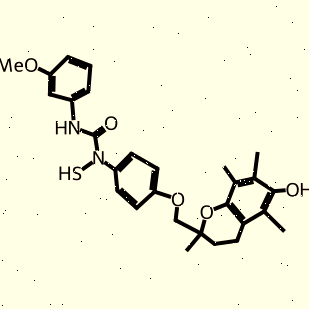 COc1cccc(NC(=O)N(S)c2ccc(OCC3(C)CCc4c(C)c(O)c(C)c(C)c4O3)cc2)c1